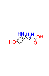 NC(Cc1c[nH]c2cc(O)ccc12)C(=O)O